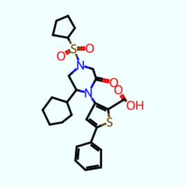 O=C(O)c1sc(-c2ccccc2)cc1N1C(=O)CN(S(=O)(=O)C2CCCC2)CC1C1CCCCC1